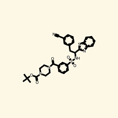 CC(C)(C)OC(=O)N1CCN(C(=O)c2cccc(S(=O)(=O)NC(Cc3cccc(C#N)c3)c3nc4ccccc4s3)c2)CC1